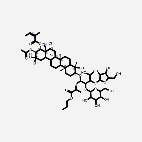 C/C=C(/C)C(=O)O[C@H]1[C@H](OC(C)=O)[C@@](O)(S)CC2C3=CCC4[C@@]5(C)CC[C@H](OC(OC(C)C(=O)OCCC)C(OC6OC(CO)C(O)C(O)C6O)C(OC6OC(CO)C(O)C6O)C(C)O)[C@@](C)(S)C5CC[C@@]4(C)[C@]3(C)C[C@@H](O)[C@]21CO